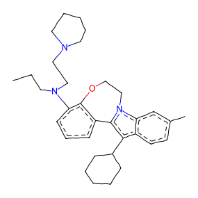 CCCN(CCN1CCCCC1)c1cccc2c1OCCn1c-2c(C2CCCCC2)c2ccc(C)cc21